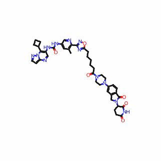 Cc1cc(NC(=O)Nc2cnc3ccnn3c2C2CCC2)cnc1-c1noc(CCCCCC(=O)N2CCN(c3ccc4c(c3)CN(C3CCC(=O)NC3=O)C4=O)CC2)n1